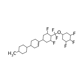 CC1CCC(C2CC=C(C3CC(F)C(C(F)(F)OC4CC(F)C(F)C(F)C4)C(F)C3)CC2)CC1